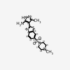 Cc1n[nH]c(N)c1-c1nc2ccc(S(=O)(=O)N3CCN(C)CC3)cc2s1